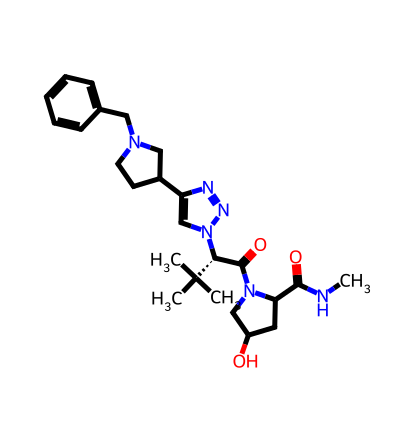 CNC(=O)C1CC(O)CN1C(=O)[C@@H](n1cc(C2CCN(Cc3ccccc3)C2)nn1)C(C)(C)C